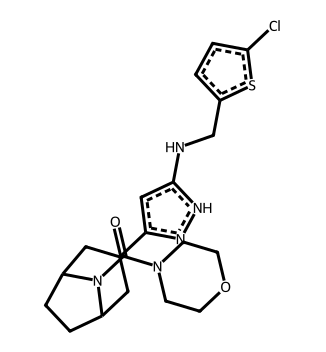 O=C(N1CCOCC1)N1C2CCC1CC(c1cc(NCc3ccc(Cl)s3)[nH]n1)C2